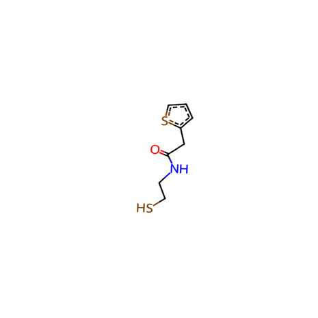 O=C(Cc1cccs1)NCCS